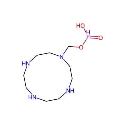 O=[PH](O)OCN1CCNCCNCCNCC1